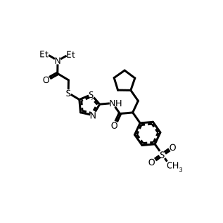 CCN(CC)C(=O)CSc1cnc(NC(=O)C(CC2CCCC2)c2ccc(S(C)(=O)=O)cc2)s1